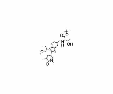 CCC(COC)n1c(-c2cc(C)c(=O)n(C)c2)nc2cc(CN[C@H](C(=O)OC(C)(C)C)[C@@H](C)O)ccc21